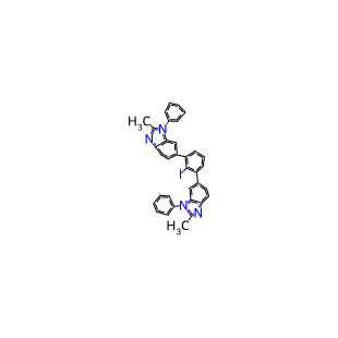 Cc1nc2ccc(-c3cccc(-c4ccc5nc(C)n(-c6ccccc6)c5c4)c3I)cc2n1-c1ccccc1